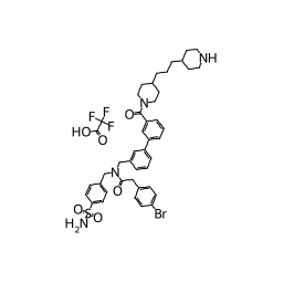 NS(=O)(=O)c1ccc(CN(Cc2cccc(-c3cccc(C(=O)N4CCC(CCCC5CCNCC5)CC4)c3)c2)C(=O)Cc2ccc(Br)cc2)cc1.O=C(O)C(F)(F)F